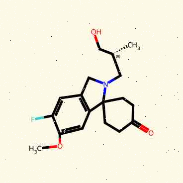 COc1cc2c(cc1F)CN(C[C@@H](C)CO)C21CCC(=O)CC1